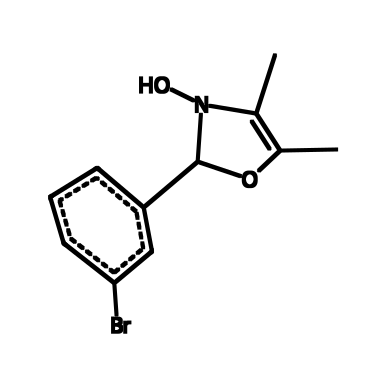 CC1=C(C)N(O)C(c2cccc(Br)c2)O1